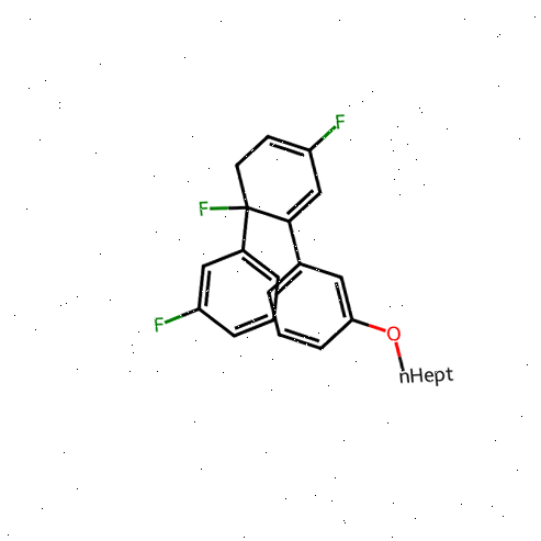 CCCCCCCOc1cccc(C2=CC(F)=CCC2(F)c2cccc(F)c2)c1